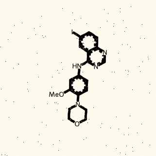 COc1cc(Nc2ncnc3ccc(I)cc23)ccc1N1CCOCC1